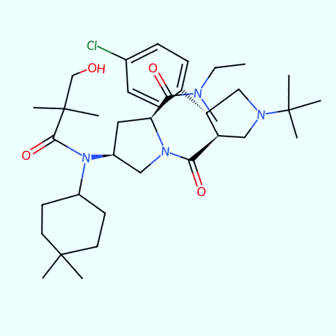 CCN(C)C(=O)[C@@H]1C[C@H](N(C(=O)C(C)(C)CO)C2CCC(C)(C)CC2)CN1C(=O)[C@@H]1CN(C(C)(C)C)C[C@H]1c1ccc(Cl)cc1